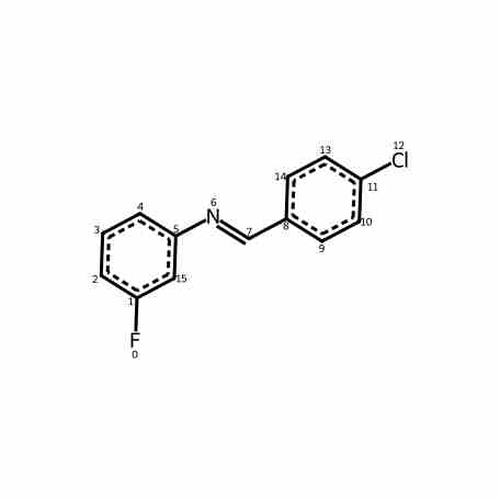 Fc1cccc(/N=C/c2ccc(Cl)cc2)c1